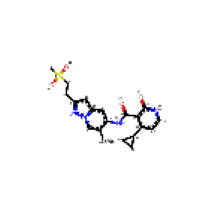 COc1cn2nc(CCS(C)(=O)=O)cc2cc1NC(=O)c1c(C2CC2)cc[nH]c1=O